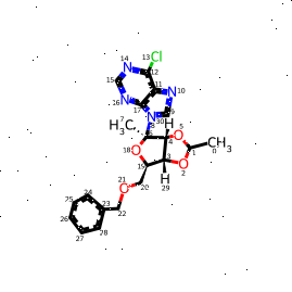 CC1O[C@H]2[C@@H](O1)[C@](C)(n1cnc3c(Cl)ncnc31)O[C@@H]2COCc1ccccc1